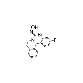 ON=C(Br)N1CCc2ccccc2[C@@H]1c1ccc(F)cc1